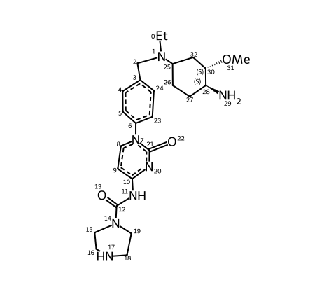 CCN(Cc1ccc(-n2ccc(NC(=O)N3CCNCC3)nc2=O)cc1)C1CC[C@H](N)[C@@H](OC)C1